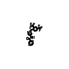 C[C@H](c1ccc(C(F)(F)F)cc1C(F)(F)F)n1cc(NC(=O)c2cnccn2)cn1